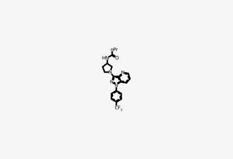 CCCC(=O)NC1CCN(c2nn(-c3ccc(C(F)(F)F)cc3)c3cccnc23)C1